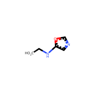 O=C(O)CNc1cnco1